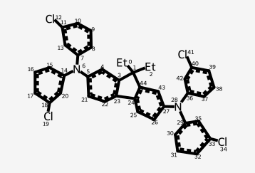 CCC1(CC)c2cc(N(c3cccc(Cl)c3)c3cccc(Cl)c3)ccc2-c2ccc(N(c3cccc(Cl)c3)c3cccc(Cl)c3)cc21